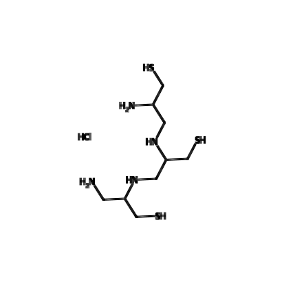 Cl.NCC(CS)NCC(CS)NCC(N)CS